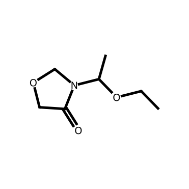 CCOC(C)N1COCC1=O